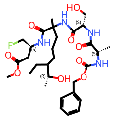 CCC(CCCC(C)(NC(=O)[C@H](CO)NC(=O)[C@H](C)NC(=O)OCc1ccccc1)C(=O)N[C@H](CF)CC(=O)OC)[C@@H](C)O